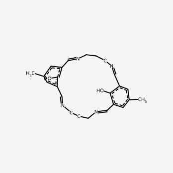 Cc1cc2c(O)c(c1)/C=N/CCC/N=C/c1cc(C)cc(c1O)/C=N/CCC/N=C/2